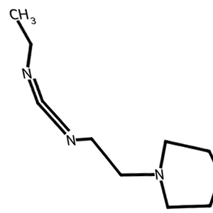 CCN=C=NCCN1CCCCC1